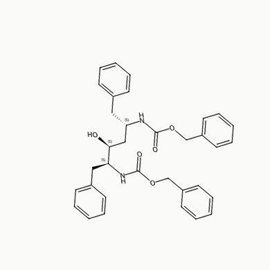 O=C(N[C@@H](Cc1ccccc1)C[C@H](O)[C@H](Cc1ccccc1)NC(=O)OCc1ccccc1)OCc1ccccc1